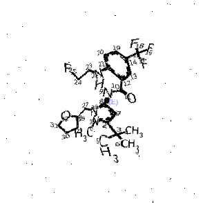 Cn1c(C(C)(C)C)c/c(=N\C(=O)c2cc(C(F)(F)F)ccc2NCCF)n1C[C@H]1CCCO1